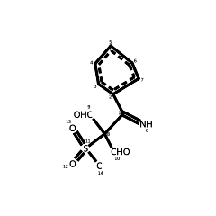 N=C(c1ccccc1)C(C=O)(C=O)S(=O)(=O)Cl